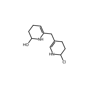 OC1CCC=C(CC2=CNC(Cl)CC2)N1